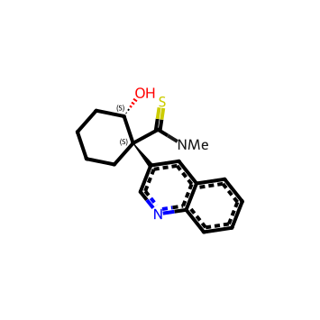 CNC(=S)[C@]1(c2cnc3ccccc3c2)CCCC[C@@H]1O